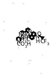 Cc1ccc2c(NC(=O)C3CC3C(F)(F)F)cccc2c1Oc1ncccc1-c1ccnc(N[C@H]2CCCN(C(=O)O)C2)n1